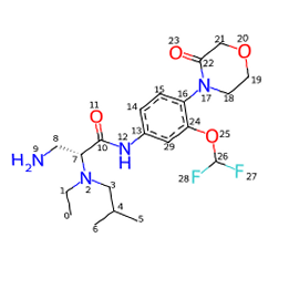 CCN(CC(C)C)[C@H](CN)C(=O)Nc1ccc(N2CCOCC2=O)c(OC(F)F)c1